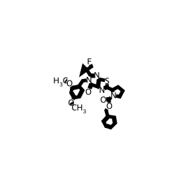 COc1ccc(Cn2c(C3(CF)CC3)nc3sc(C4CCCN4C(=O)OCc4ccccc4)nc3c2=O)c(OC)c1